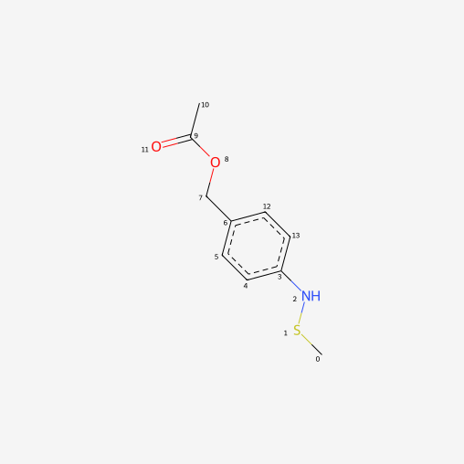 CSNc1ccc(COC(C)=O)cc1